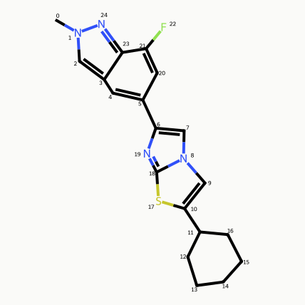 Cn1cc2cc(-c3cn4cc(C5CCCCC5)sc4n3)cc(F)c2n1